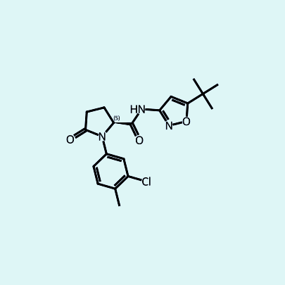 Cc1ccc(N2C(=O)CC[C@H]2C(=O)Nc2cc(C(C)(C)C)on2)cc1Cl